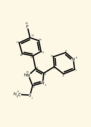 CSc1nc(-c2ccncc2)c(-c2ccc(F)cc2)[nH]1